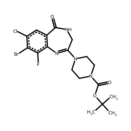 CC(C)(C)OC(=O)N1CCN(C2=Nc3c(cc(Cl)c(Br)c3F)C(=O)NC2)CC1